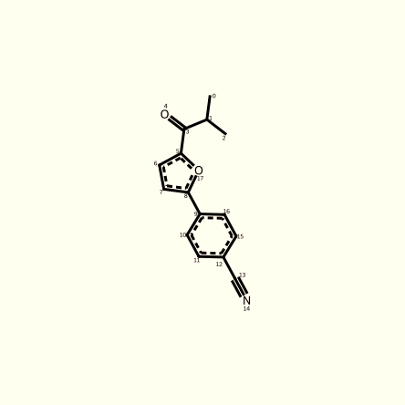 CC(C)C(=O)c1ccc(-c2ccc(C#N)cc2)o1